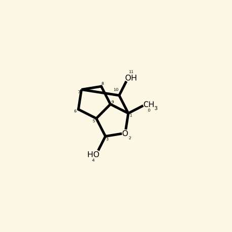 CC12OC(O)C3CC(CC31)C2O